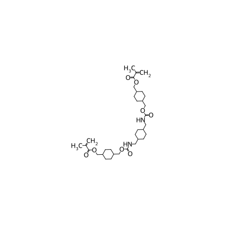 C=C(C)C(=O)OCC1CCC(COC(=O)NCC2CCC(CNC(=O)OCC3CCC(COC(=O)C(=C)C)CC3)CC2)CC1